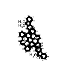 CC1(C)C2=C(CCC(c3ccc4c(-n5c(-c6ccccc6)ccc5-c5ccccc5)c5ccc(-c6ccc7c(c6)C(C)(C)c6ccccc6-7)cc5c(-n5c(-c6ccccc6)ccc5-c5ccccc5)c4c3)=C2)c2ccccc21